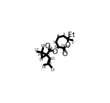 CCC1(C)CCCC(OC(=O)C2(C=C(C)C)CC2(C)C)C(=O)O1